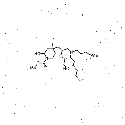 COCCCN(CCOCCO)CC(CC1(C)CCN(C(=O)OC(C)(C)C)C(O)C1)OCCO